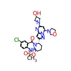 CS(=O)(=O)Nc1ccc(Cl)cc1C(=O)N1CCCC[C@H]1c1cc2nc(N3CC(O)C3)cc(N3CCOC3)n2n1